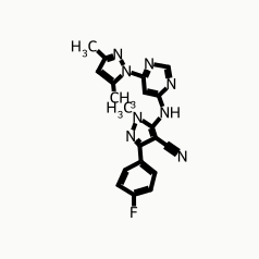 Cc1cc(C)n(-c2cc(Nc3c(C#N)c(-c4ccc(F)cc4)nn3C)ncn2)n1